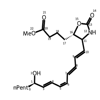 CCCCC[C@@H](O)/C=C/C=C\C=C\C=C\C1NC(=O)O[C@H]1CCCC(=O)OC